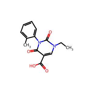 CCn1cc(C(=O)O)c(=O)n(-c2ccccc2C)c1=O